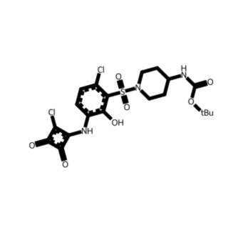 CC(C)(C)OC(=O)NC1CCN(S(=O)(=O)c2c(Cl)ccc(Nc3c(Cl)c(=O)c3=O)c2O)CC1